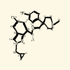 C[C@@H](OCC1(c2ccc(F)cc2)CCN(C)CC1)c1cc(Cl)cc2cn(CC3CC3)nc12